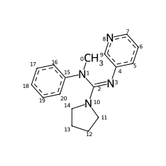 CN(C(=Nc1cccnc1)N1CCCC1)c1ccccc1